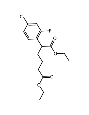 CCOC(=O)CCCC(C(=O)OCC)c1ccc(Cl)cc1F